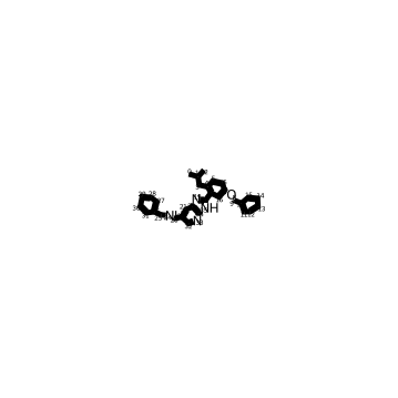 CC(C)Cc1ccc(OCc2ccccc2)cc1-c1nc2cc(CNCc3ccccc3)cnc2[nH]1